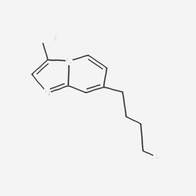 CCOC(=O)c1cnc2cc(CCCCC(C)=O)ccn12